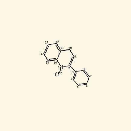 ClN1C(c2ccccc2)=CCc2ccccc21